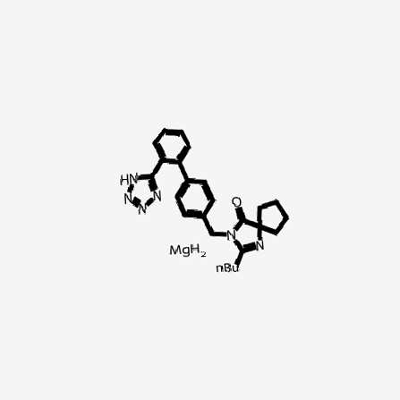 CCCCC1=NC2(CCCC2)C(=O)N1Cc1ccc(-c2ccccc2-c2nnn[nH]2)cc1.[MgH2]